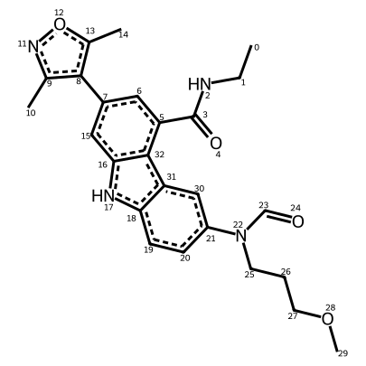 CCNC(=O)c1cc(-c2c(C)noc2C)cc2[nH]c3ccc(N(C=O)CCCOC)cc3c12